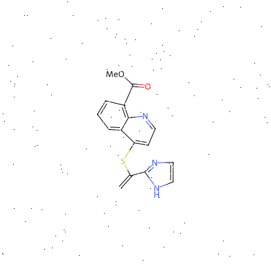 C=C(Sc1ccnc2c(C(=O)OC)cccc12)c1ncc[nH]1